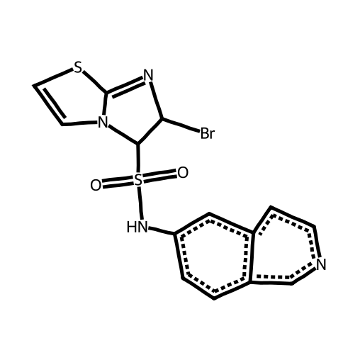 O=S(=O)(Nc1ccc2cnccc2c1)C1C(Br)N=C2SC=CN21